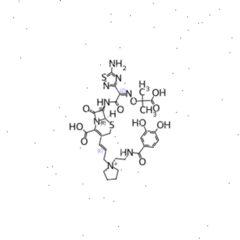 CC(C)(O/N=C(\C(=O)N[C@@H]1C(=O)N2C(C(=O)O)=C(/C=C/C[N+]3(CCNC(=O)c4ccc(O)c(O)c4)CCCC3)CS[C@H]12)c1nsc(N)n1)C(=O)O